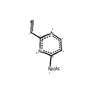 C=Cc1nccc(NC(C)=O)n1